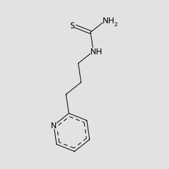 NC(=S)NCCCc1ccccn1